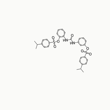 CC(C)c1ccc(S(=O)(=O)Oc2cccc(NC(=O)Nc3ccccc3OS(=O)(=O)c3ccc(C(C)C)cc3)c2)cc1